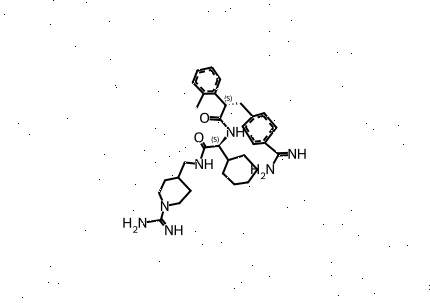 Cc1ccccc1[C@H](Cc1ccc(C(=N)N)cc1)C(=O)N[C@H](C(=O)NCC1CCN(C(=N)N)CC1)C1CCCCC1